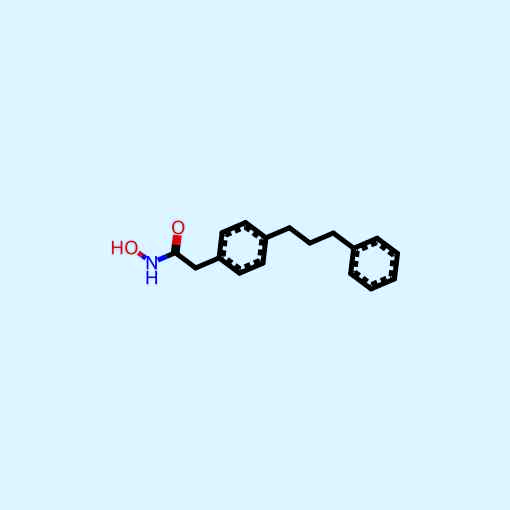 O=C(Cc1ccc(CCCc2ccccc2)cc1)NO